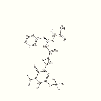 CC(C)C(C(=O)NC12CC(C(=O)N[C@@H](Cc3ccccc3)C[C@H](C)C(=O)O)(C1)C2)N(C)C(=O)OC(C)(C)C